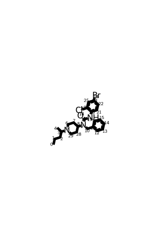 CCCC(C)N1CCC(N(Cc2ccccc2)C(=O)Nc2ccc(Br)cc2Cl)CC1